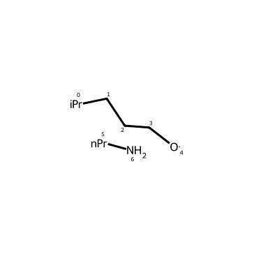 CC(C)CCC[O].CCCN